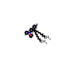 CCCCCCCCCCC1(CCCCCCCCCC)c2cc(I)ccc2-c2ccc(N(c3ccccc3)c3ccccc3)cc21